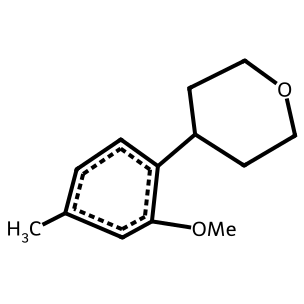 COc1cc(C)ccc1C1CCOCC1